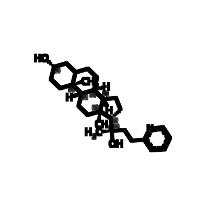 C[C@]12CC[C@H]3[C@@H](CCC4C[C@@H](O)CC[C@@]43C)[C@@H]1CC[C@@H]2[C@](C)(O)CCc1ccccn1